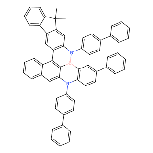 CC1(C)c2ccccc2-c2cc3c(cc21)N(c1ccc(-c2ccccc2)cc1)B1c2cc(-c4ccccc4)ccc2N(c2ccc(-c4ccccc4)cc2)c2cc4ccccc4c-3c21